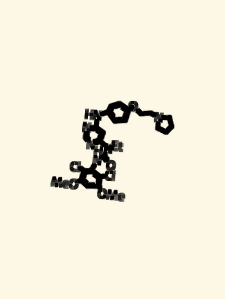 CCN(C(=O)Nc1c(Cl)c(OC)cc(OC)c1Cl)c1cc(Nc2ccc(OCCN3CCCC3)cc2)ncn1